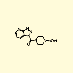 CCCCCCCCN1CCN(C(=O)n2nnc3ncccc32)CC1